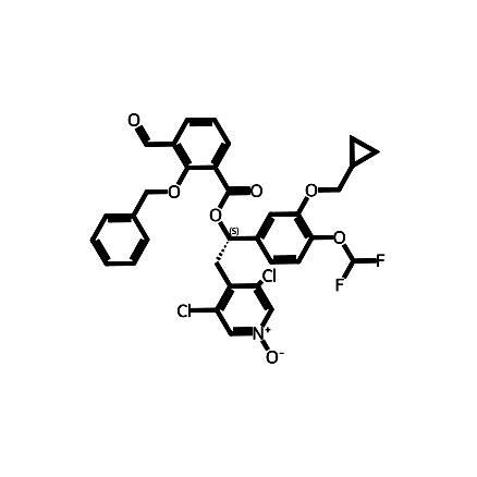 O=Cc1cccc(C(=O)O[C@@H](Cc2c(Cl)c[n+]([O-])cc2Cl)c2ccc(OC(F)F)c(OCC3CC3)c2)c1OCc1ccccc1